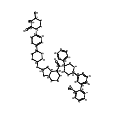 O=C1CC[C@H](c2ccc(N3CCC(CN4CC5CCCN(C(=O)C6(c7ccccc7)CCN(c7cnnc(-c8ccccc8O)c7)CC6)C5C4)CC3)cc2)C(=O)N1